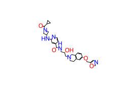 O=C(NCC(O)CN1CCc2cc(OCc3cnco3)ccc2C1)c1ccnc(NC2CN(C(=O)C3CC3)C2)c1